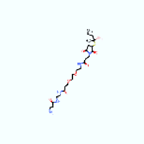 BC(C)(CCC)SC1CC(=O)N(CCC(=O)NCCOCCOCCC(=O)NCCNC(=O)CCN)C1=O